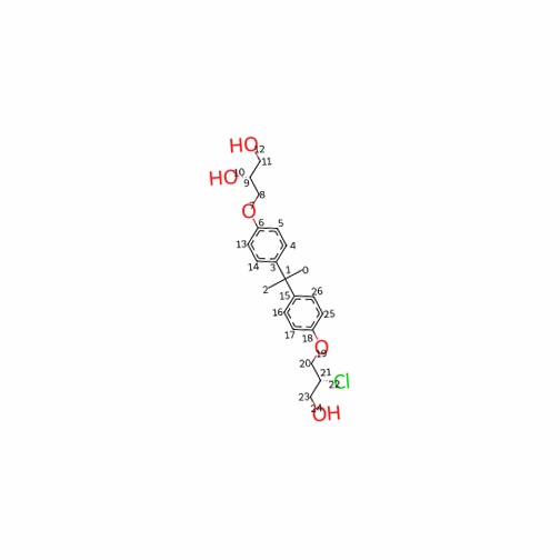 CC(C)(c1ccc(OC[C@H](O)CO)cc1)c1ccc(OC[C@H](Cl)CO)cc1